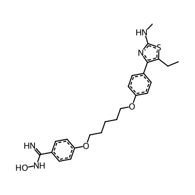 CCc1sc(NC)nc1-c1ccc(OCCCCCOc2ccc(C(=N)NO)cc2)cc1